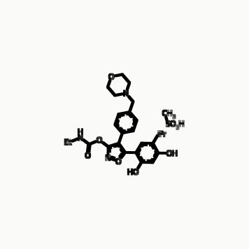 CCNC(=O)Oc1noc(-c2cc(C(C)C)c(O)cc2O)c1-c1ccc(CN2CCOCC2)cc1.CS(=O)(=O)O